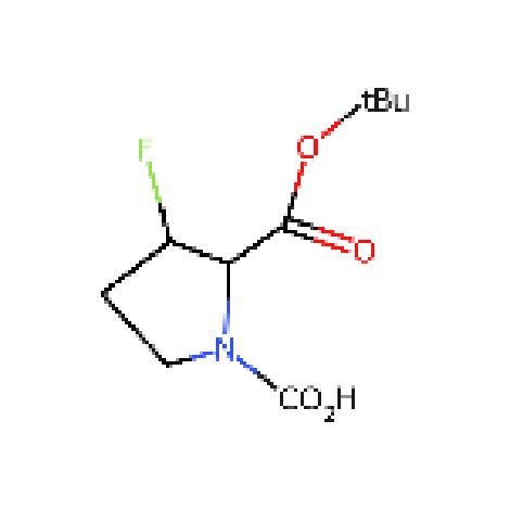 CC(C)(C)OC(=O)C1C(F)CCN1C(=O)O